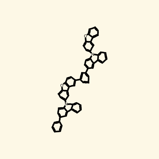 c1ccc(-c2ccc3c(c2)c2ccccc2n3-c2ccc3oc4ccc(-c5cccc(-c6ccc7c(c6)c6ccccc6n7-c6ccc7oc8ccccc8c7c6)c5)cc4c3c2)cc1